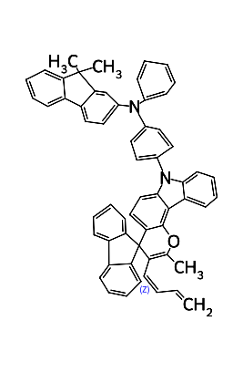 C=C/C=C\C1=C(C)Oc2c(ccc3c2c2ccccc2n3-c2ccc(N(c3ccccc3)c3ccc4c(c3)C(C)(C)c3ccccc3-4)cc2)C12c1ccccc1-c1ccccc12